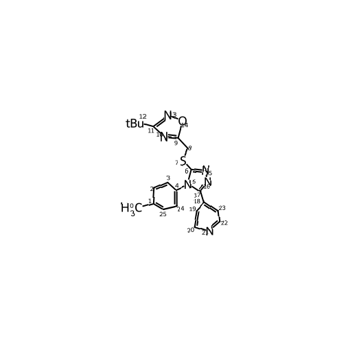 Cc1ccc(-n2c(SCc3nc(C(C)(C)C)no3)nnc2-c2ccncc2)cc1